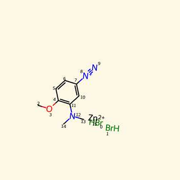 Br.Br.COc1ccc([N+]#N)cc1N(C)C.[Zn+2]